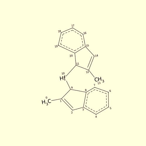 CC1=Cc2ccccc2[CH]1[Hf][CH]1C(C)=Cc2ccccc21